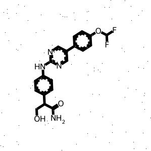 NC(=O)C(CO)c1ccc(Nc2ncc(-c3ccc(OC(F)F)cc3)cn2)cc1